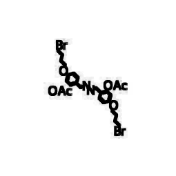 CC(=O)Oc1cc(OCCCCBr)ccc1/C=N/N=C/c1ccc(OCCCCBr)cc1OC(C)=O